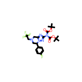 CC(C)(C)OC(=O)N(C(=O)OC(C)(C)C)c1nc2n(n1)C(c1ccc(F)cc1)CN(CC(F)(F)F)C2